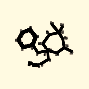 CCCC(C)C[N+]1(Cc2ccccc2)CCC(C)(C)CC(C)C1